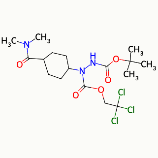 CN(C)C(=O)C1CCC(N(NC(=O)OC(C)(C)C)C(=O)OCC(Cl)(Cl)Cl)CC1